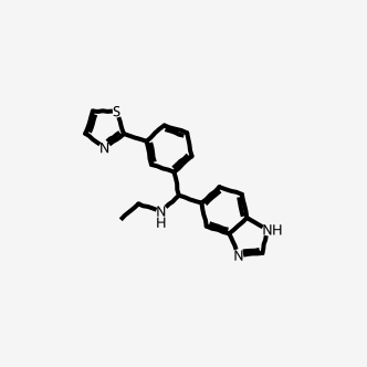 CCNC(c1cccc(-c2nccs2)c1)c1ccc2[nH]cnc2c1